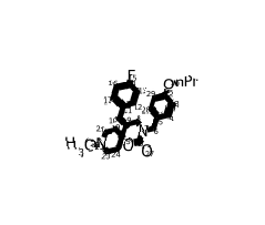 CCCOc1ccc(CN2CC(Cc3ccc(F)cc3)C3(CCN(C)CC3)OC2=O)cc1